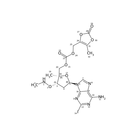 CNO[C@H]1C[C@H](n2cnc3c(N)nc(I)nc32)O[C@]1(C)COC(=O)OCc1oc(=O)oc1C